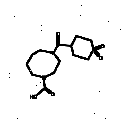 O=C(O)N1CCCCN(C(=O)C2CCS(=O)(=O)CC2)CC1